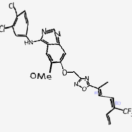 C=C/C(=C\C=C(/C)c1nc(COc2cc3ncnc(Nc4ccc(Cl)c(Cl)c4)c3cc2OC)no1)C(F)(F)F